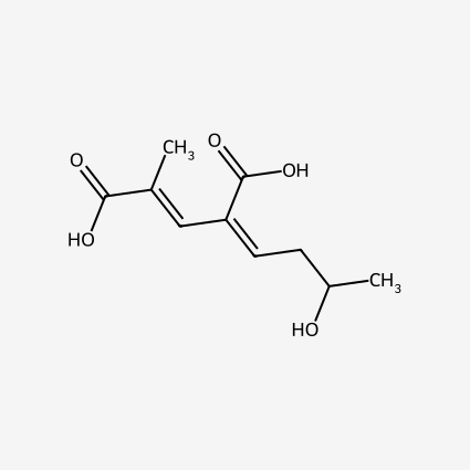 CC(=CC(=CCC(C)O)C(=O)O)C(=O)O